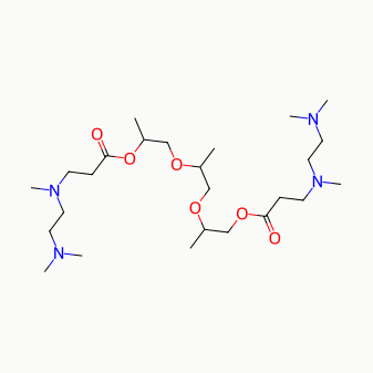 CC(COC(=O)CCN(C)CCN(C)C)OCC(C)OCC(C)OC(=O)CCN(C)CCN(C)C